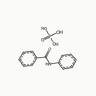 O=C(Nc1ccccc1)c1ccccc1.O=P(O)(O)O